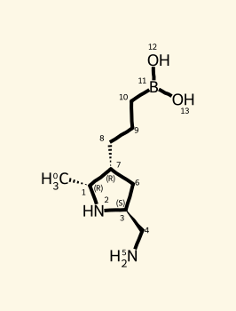 C[C@H]1N[C@H](CN)C[C@H]1CCCB(O)O